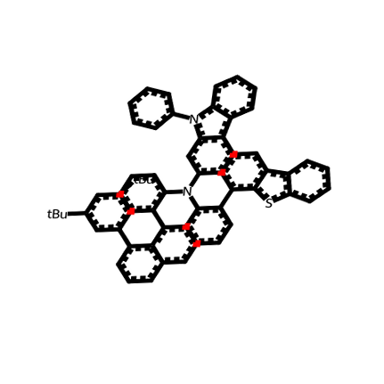 CC(C)(C)c1cc(-c2cccc3cccc(-c4ccccc4N(c4ccc5c6ccccc6n(-c6ccccc6)c5c4)c4ccccc4-c4cccc5c4sc4ccccc45)c23)cc(C(C)(C)C)c1